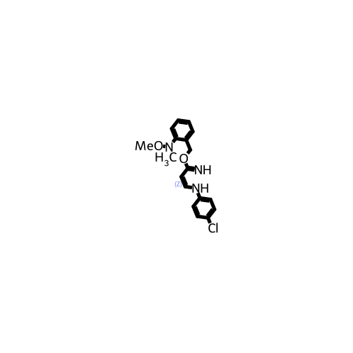 CON(C)c1ccccc1COC(=N)/C=C\Nc1ccc(Cl)cc1